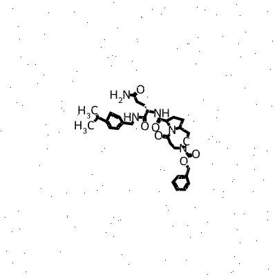 CC(C)c1ccc(CNC(=O)[C@H](CCC(N)=O)NC(=O)C2CCC3CCN(C(=O)OCc4ccccc4)CCC(=O)N32)cc1